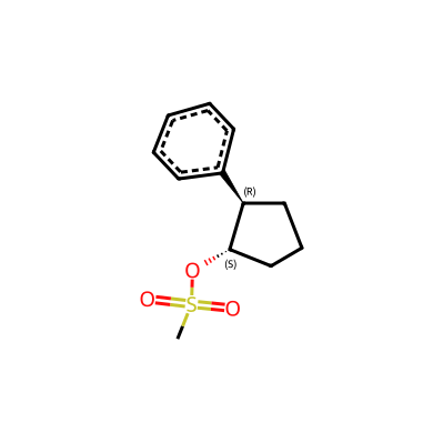 CS(=O)(=O)O[C@H]1CCC[C@@H]1c1ccccc1